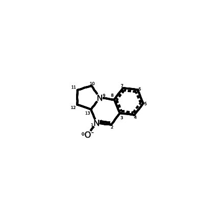 [O-][N+]1=Cc2ccccc2N2CCCC21